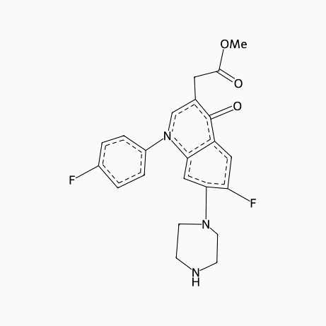 COC(=O)Cc1cn(-c2ccc(F)cc2)c2cc(N3CCNCC3)c(F)cc2c1=O